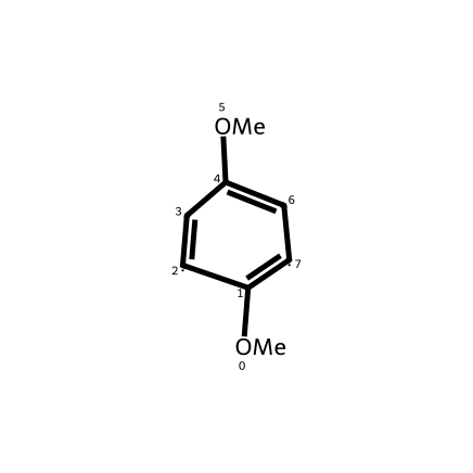 COc1[c]cc(OC)c[c]1